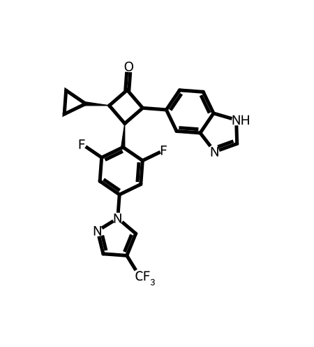 O=C1C(c2ccc3[nH]cnc3c2)[C@@H](c2c(F)cc(-n3cc(C(F)(F)F)cn3)cc2F)[C@H]1C1CC1